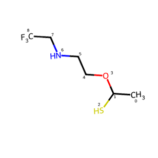 CC(S)OCCNCC(F)(F)F